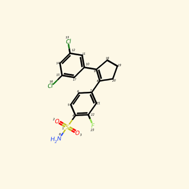 NS(=O)(=O)c1ccc(C2=C(c3cc(Cl)cc(Cl)c3)CCC2)cc1F